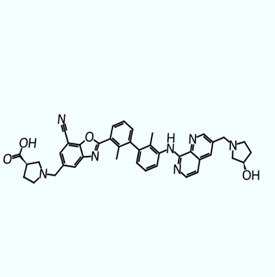 Cc1c(Nc2nccc3cc(CN4CC[C@@H](O)C4)cnc23)cccc1-c1cccc(-c2nc3cc(CN4CC[C@@H](C(=O)O)C4)cc(C#N)c3o2)c1C